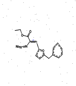 CCOC(=O)/C(=C/c1ccc(Cc2ccccc2)o1)N=[N+]=[N-]